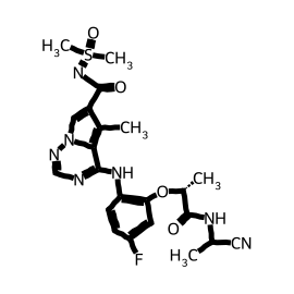 Cc1c(C(=O)N=S(C)(C)=O)cn2ncnc(Nc3ccc(F)cc3O[C@H](C)C(=O)NC(C)C#N)c12